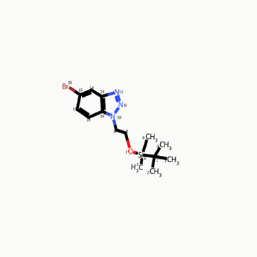 CC(C)(C)[Si](C)(C)OCCn1nnc2cc(Br)ccc21